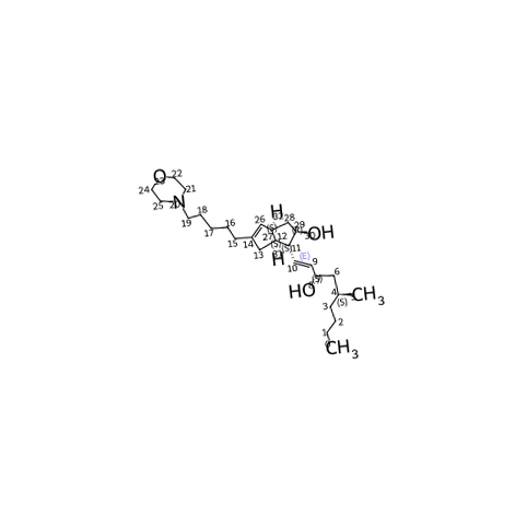 CCCC[C@H](C)C[C@H](O)/C=C/[C@@H]1[C@H]2CC(CCCCCN3CCOCC3)=C[C@H]2C[C@H]1O